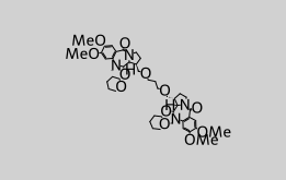 COc1cc2c(cc1OC)N(C)C(OC1CCCCO1)[C@@H]1[C@H](COCCCOC[C@@H]3CCN4C(=O)c5cc(OC)c(OC)cc5N(C)C(OC5CCCCO5)[C@H]34)CCN1C2=O